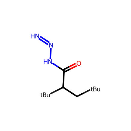 CC(C)(C)CC(C(=O)NN=N)C(C)(C)C